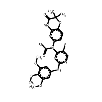 COc1cc(Nc2ncc(F)c(N(C(=O)Cl)c3ccc4c(n3)NC(=O)C(C)(C)O4)n2)cc(OC)c1OC